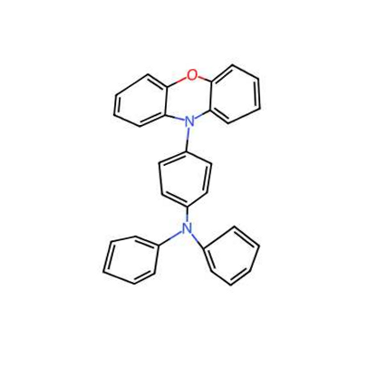 c1ccc(N(c2ccccc2)c2ccc(N3c4ccccc4Oc4ccccc43)cc2)cc1